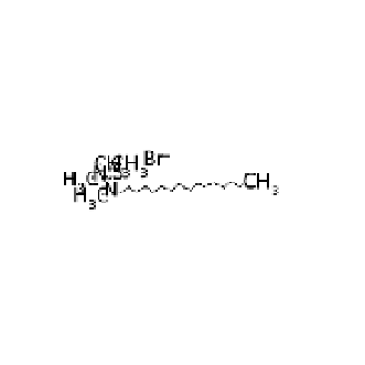 CCCCCCCCCCCCCCCCN(C)C(SC)=[N+](C)C.[Br-]